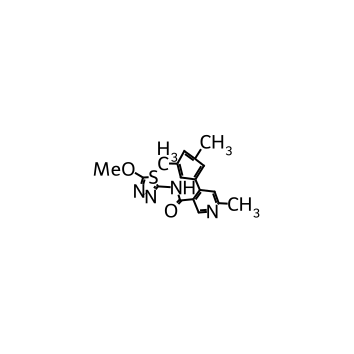 COc1nnc(NC(=O)c2cnc(C)cc2-c2cc(C)cc(C)c2)s1